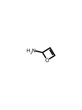 NC1C=CO1